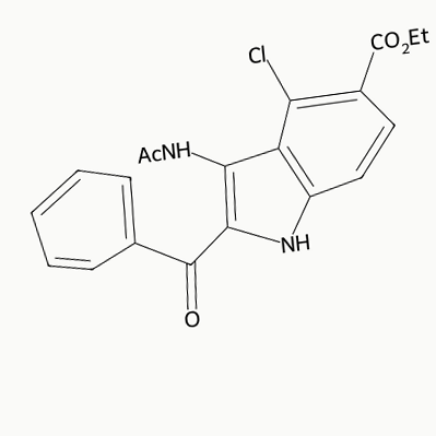 CCOC(=O)c1ccc2[nH]c(C(=O)c3ccccc3)c(NC(C)=O)c2c1Cl